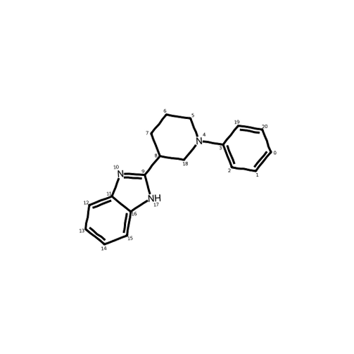 c1ccc(N2CCCC(c3nc4ccccc4[nH]3)C2)cc1